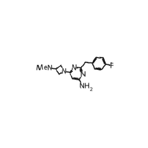 CNC1CN(c2cc(N)nc(Cc3ccc(F)cc3)n2)C1